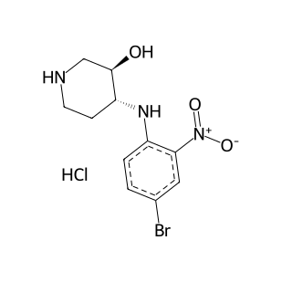 Cl.O=[N+]([O-])c1cc(Br)ccc1N[C@@H]1CCNC[C@H]1O